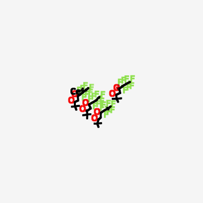 CC(C)(C)C(=O)CC(=O)C(F)(F)C(F)(F)C(F)(F)F.CC(C)(C)C(=O)CC(=O)C(F)(F)C(F)(F)C(F)(F)F.CC(C)(C)C(=O)CC(=O)C(F)(F)C(F)(F)C(F)(F)F.CC(C)(C)C(=O)CC(=O)C(F)(F)C(F)(F)C(F)(F)F.[Ce+4]